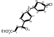 CCOC(=O)C=CC(=O)c1ccc(Oc2ccc(Cl)cc2)cc1